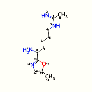 CC(=N)NCCCCC(N)c1ncc(C)o1